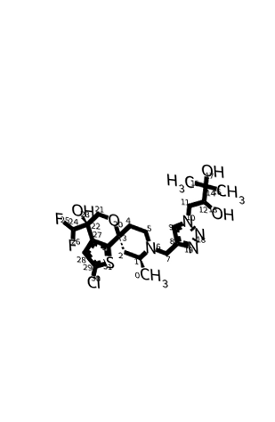 C[C@H]1C[C@@]2(CCN1Cc1cn(CC(O)C(C)(C)O)nn1)OC[C@@](O)(C(F)F)c1cc(Cl)sc12